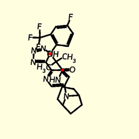 CC(C)(Oc1ccc(F)cc1C(F)(F)F)C(=O)NC1CC2CCC(C1)N2c1ccc(-c2nnn[nH]2)nc1